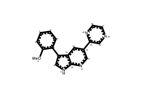 COc1ccccc1-c1c[nH]c2ncc(-c3cnccn3)cc12